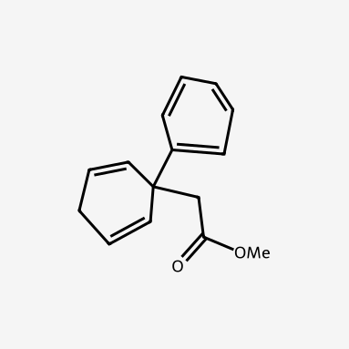 COC(=O)CC1(c2ccccc2)C=CCC=C1